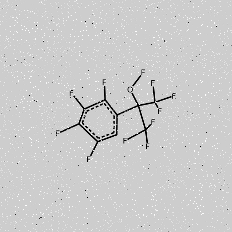 FOC(c1cc(F)c(F)c(F)c1F)(C(F)(F)F)C(F)(F)F